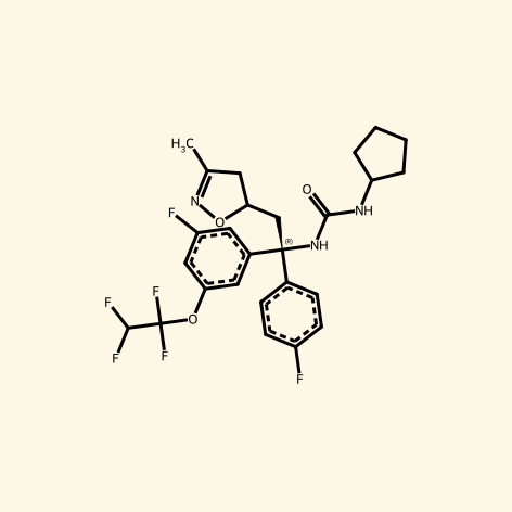 CC1=NOC(C[C@@](NC(=O)NC2CCCC2)(c2ccc(F)cc2)c2cc(F)cc(OC(F)(F)C(F)F)c2)C1